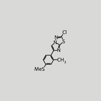 CSc1ccc(-c2cn3nc(Cl)sc3n2)c(C)c1